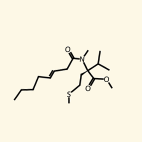 CCCC/C=C/CC(=O)N(C)[C@@](CCSC)(C(=O)OC)C(C)C